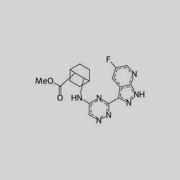 COC(=O)C1C2CCC(CC2)C1Nc1cnnc(-c2n[nH]c3ncc(F)cc23)n1